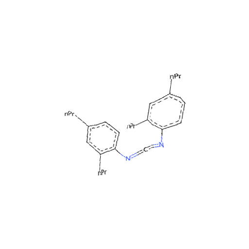 CCCc1ccc(N=C=Nc2ccc(CCC)cc2CCC)c(CCC)c1